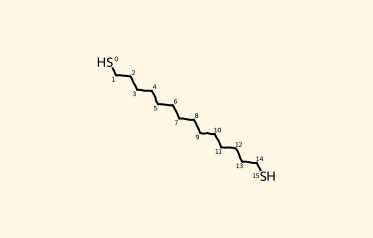 SCCCCCCCCCCCCCCS